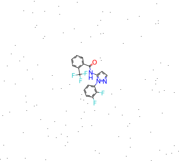 O=C(Nc1ccnn1-c1cccc(F)c1F)c1ccccc1C(F)(F)F